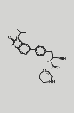 CC(C)n1c(=O)oc2ccc(-c3ccc(CC(C#N)NC(=O)[C@@H]4CNCCCO4)cc3)cc21